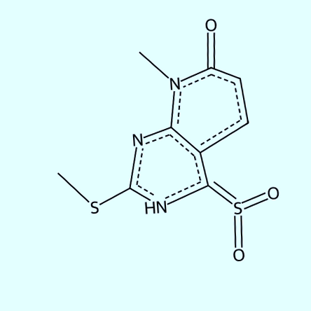 CSc1nc2c(ccc(=O)n2C)c(=S(=O)=O)[nH]1